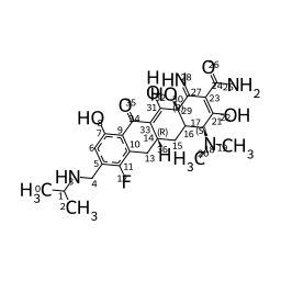 CC(C)NCc1cc(O)c2c(c1F)C[C@H]1CC3[C@H](N(C)C)C(O)=C(C(N)=O)C(=N)[C@@]3(O)C(O)=C1C2=O